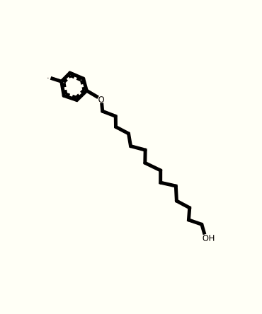 [CH2]c1ccc(OCCCCCCCCCCCCCCO)cc1